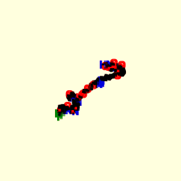 Cc1ncc(NC(=O)c2cccc(C(F)(F)F)c2)cc1-c1cnc(OCCOCCOCCOCc2cn(CCCCCCCOc3cccc(C=O)c3CN(C)C3CCC(=O)NC3=O)nn2)c(N2CCOCC2)c1